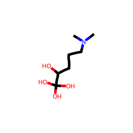 CN(C)CCCC(O)C(O)(O)O